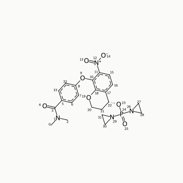 CN(C)C(=O)c1ccc(Oc2c([N+](=O)[O-])ccc3c2OCC[C@H]3OP(=O)(N2CC2)N2CC2)cc1